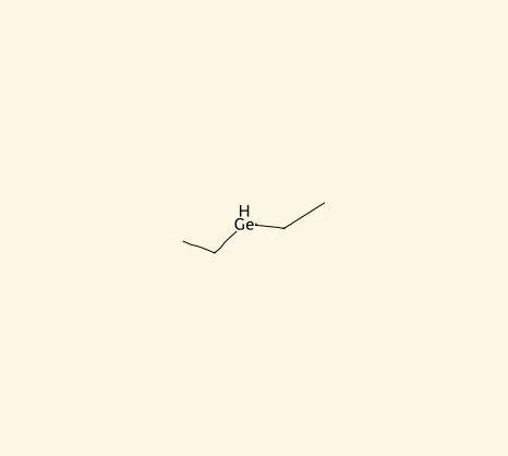 C[CH2][GeH][CH2]C